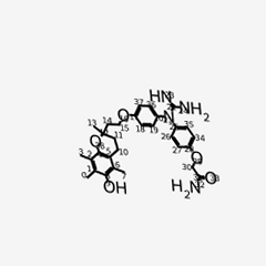 Cc1c(C)c2c(c(C)c1O)CCC(C)(CCOc1ccc(N(C(=N)N)c3ccc(OCC(N)=O)cc3)cc1)O2